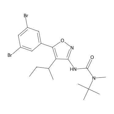 CCC(C)c1c(NC(=O)N(C)C(C)(C)C)noc1-c1cc(Br)cc(Br)c1